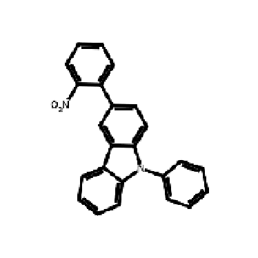 O=[N+]([O-])c1ccccc1-c1ccc2c(c1)c1ccccc1n2-c1ccccc1